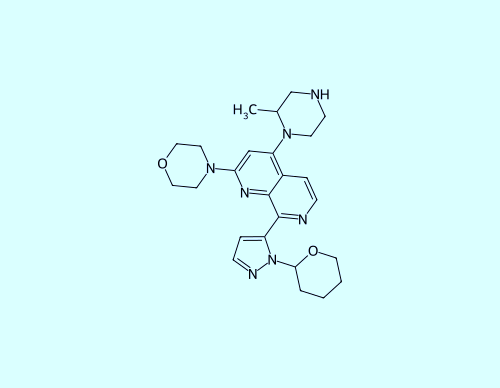 CC1CNCCN1c1cc(N2CCOCC2)nc2c(-c3ccnn3C3CCCCO3)nccc12